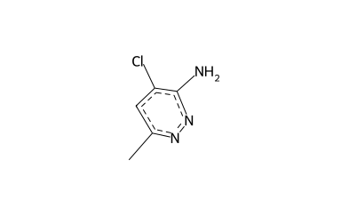 Cc1cc(Cl)c(N)nn1